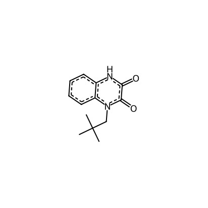 CC(C)(C)Cn1c(=O)c(=O)[nH]c2ccccc21